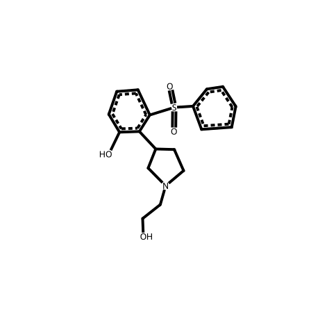 O=S(=O)(c1ccccc1)c1cccc(O)c1C1CCN(CCO)C1